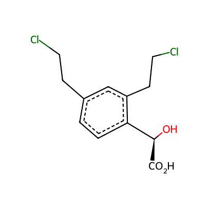 O=C(O)[C@H](O)c1ccc(CCCl)cc1CCCl